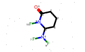 O=C1CCCC(N(F)F)N1F